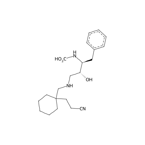 N#CCCC1(CNC[C@@H](O)[C@H](Cc2ccccc2)NC(=O)O)CCCCC1